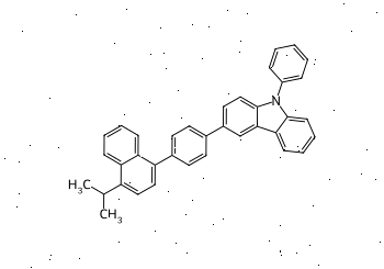 CC(C)c1ccc(-c2ccc(-c3ccc4c(c3)c3ccccc3n4-c3ccccc3)cc2)c2ccccc12